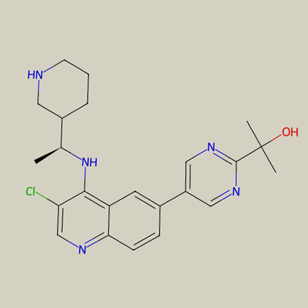 C[C@H](Nc1c(Cl)cnc2ccc(-c3cnc(C(C)(C)O)nc3)cc12)C1CCCNC1